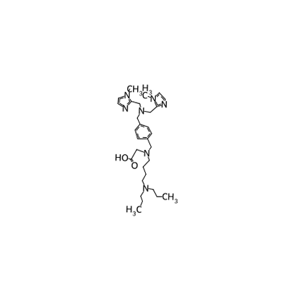 CCCN(CCC)CCCCN(CC(=O)O)Cc1ccc(CN(Cc2nccn2C)Cc2nccn2C)cc1